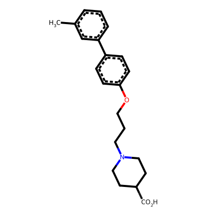 Cc1cccc(-c2ccc(OCCCN3CCC(C(=O)O)CC3)cc2)c1